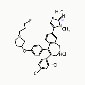 C/N=c1\scc(-c2ccc3c(c2)CCCC(c2ccc(Cl)cc2Cl)=C3c2ccc(OC3CCN(CCCF)C3)cc2)n1C.Cl